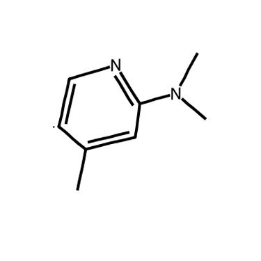 Cc1[c]cnc(N(C)C)c1